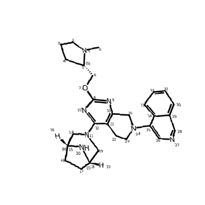 CN1CCC[C@H]1COc1nc2c(c(N3C[C@H]4CC[C@@H](C3)N4)n1)CCN(c1cncc3ccccc13)C2